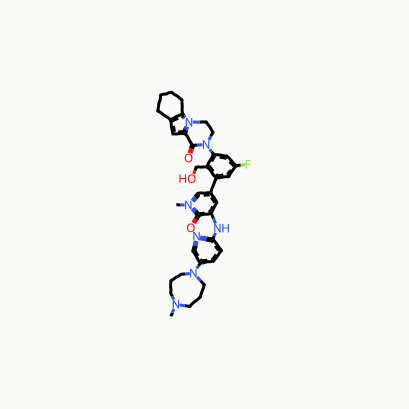 CN1CCCN(c2ccc(Nc3cc(-c4cc(F)cc(N5CCn6c(cc7c6CCCC7)C5=O)c4CO)cn(C)c3=O)nc2)CCC1